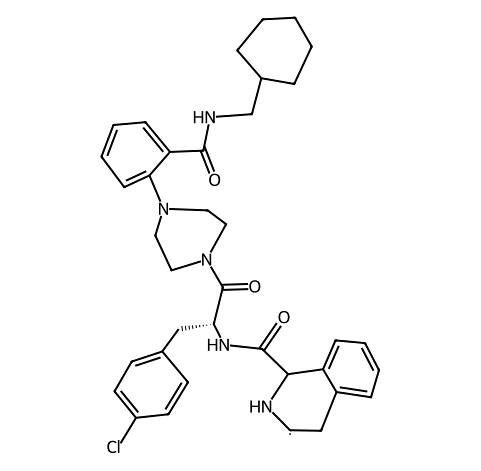 O=C(NCC1CCCCC1)c1ccccc1N1CCN(C(=O)[C@@H](Cc2ccc(Cl)cc2)NC(=O)C2N[CH]Cc3ccccc32)CC1